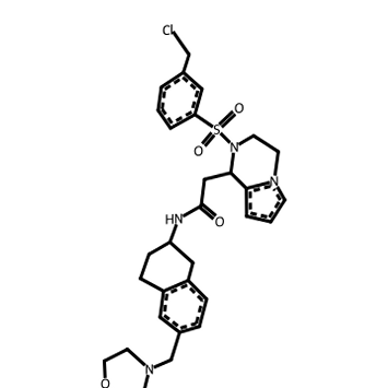 O=C(CC1c2cccn2CCN1S(=O)(=O)c1cccc(CCl)c1)NC1CCc2cc(CN3CCOCC3)ccc2C1